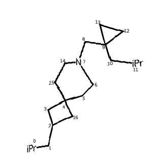 CC(C)CC1CC2(CCN(CC3(CC(C)C)CC3)CC2)C1